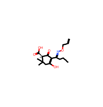 C=CCON=C(CCC)C1=C(O)CC(C)(C)[C@@H](C(=O)O)C1=O